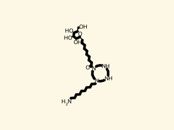 NCCCCCCCCCCN1CCCN(C(=O)CCCCCCCCC[C@@H]2O[C@H](CO)[C@@H](O)[C@H](O)[C@H]2O)CCNCCCNCC1